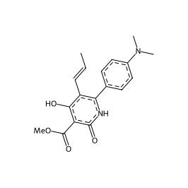 C/C=C/c1c(-c2ccc(N(C)C)cc2)[nH]c(=O)c(C(=O)OC)c1O